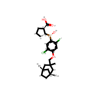 CC1(COc2cc(F)c([S@@+]([O-])[C@@H]3CCC[C@H]3C(=O)O)cc2Cl)C[C@@H]2CC[C@@H](C2)C1